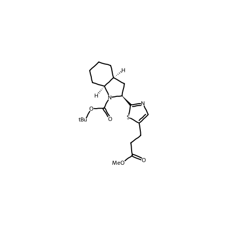 COC(=O)CCc1cnc([C@@H]2C[C@@H]3CCCC[C@@H]3N2C(=O)OC(C)(C)C)s1